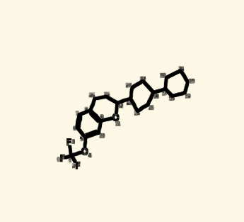 FC(F)(F)Oc1ccc2c(c1)OC(C1CCC(C3CCCCC3)CC1)CC2